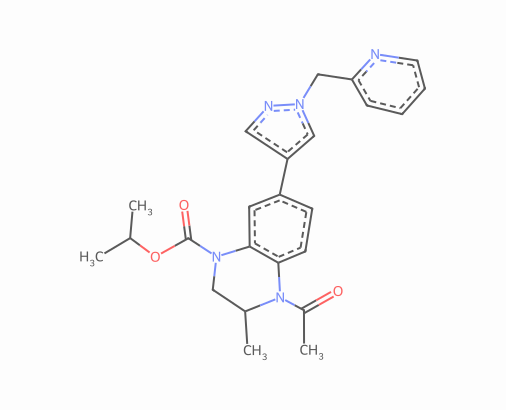 CC(=O)N1c2ccc(-c3cnn(Cc4ccccn4)c3)cc2N(C(=O)OC(C)C)CC1C